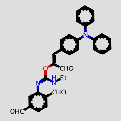 CCN/C(=N\c1cc(C=O)ccc1C=O)O/C(C=O)=C/c1ccc(N(c2ccccc2)c2ccccc2)cc1